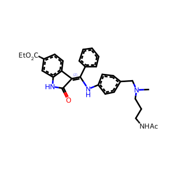 CCOC(=O)c1ccc2c(c1)NC(=O)/C2=C(\Nc1ccc(CN(C)CCCNC(C)=O)cc1)c1ccccc1